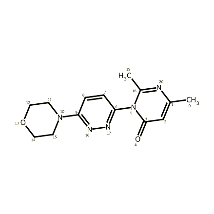 Cc1cc(=O)n(-c2ccc(N3CCOCC3)nn2)c(C)n1